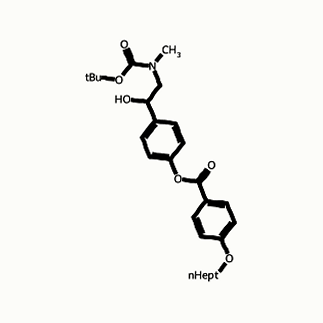 CCCCCCCOc1ccc(C(=O)Oc2ccc(C(O)CN(C)C(=O)OC(C)(C)C)cc2)cc1